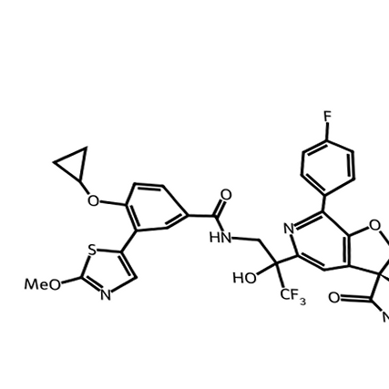 COc1ncc(-c2cc(C(=O)NCC(O)(c3cc4c(c(-c5ccc(F)cc5)n3)OC[C@]4(C)C(N)=O)C(F)(F)F)ccc2OC2CC2)s1